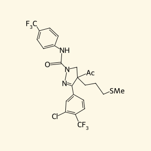 CSCCCC1(C(C)=O)CN(C(=O)Nc2ccc(C(F)(F)F)cc2)N=C1c1ccc(C(F)(F)F)c(Cl)c1